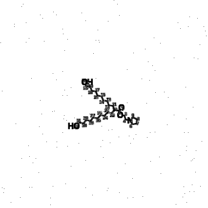 O=C(OCCN1CCCC1)C(CCCCCCCCCCO)CCCCCCCCCCO